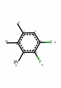 Cc1cc(F)c(F)c(C(C)C)c1C